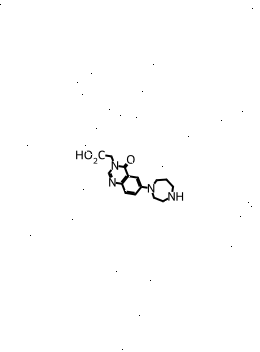 O=C(O)Cn1cnc2ccc(N3CCCNCC3)cc2c1=O